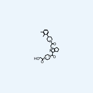 Cc1cccc(C2CCN(C(=O)Cn3nc(C(=O)N4CCN(C(=O)CO)CC4)c4c3CCC4)CC2)c1C